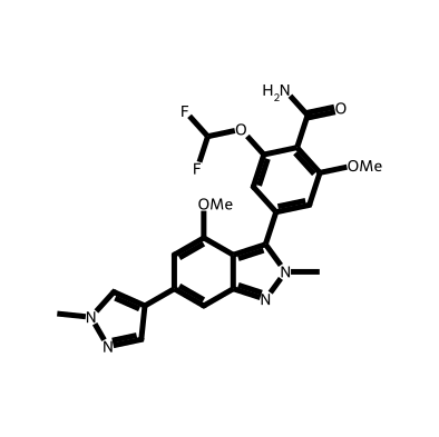 COc1cc(-c2c3c(OC)cc(-c4cnn(C)c4)cc3nn2C)cc(OC(F)F)c1C(N)=O